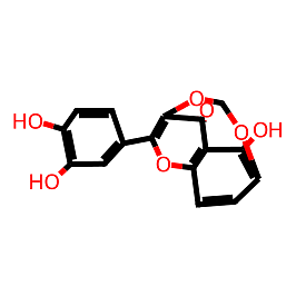 O=c1c2c(-c3ccc(O)c(O)c3)oc3ccc(c(O)c13)OCO2